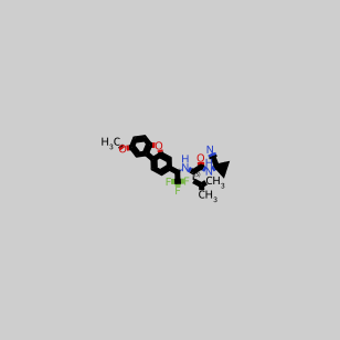 COc1ccc2oc3cc([C@H](N[C@@H](CC(C)C)C(=O)NC4(C#N)CC4)C(F)(F)F)ccc3c2c1